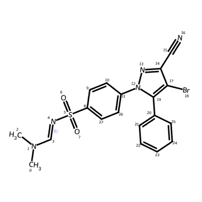 CN(C)/C=N/S(=O)(=O)c1ccc(-n2nc(C#N)c(Br)c2-c2ccccc2)cc1